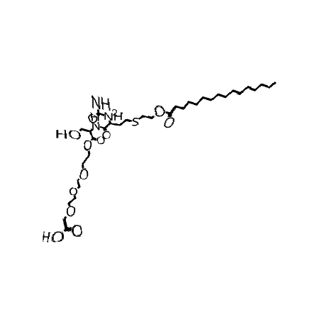 CCCCCCCCCCCCCCCC(=O)OCCSCCC(NC(N)=O)C(=O)NC(CO)C(=O)OCCOCCOCCOCC(=O)O